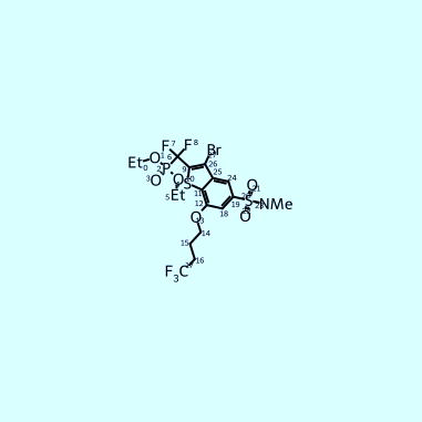 CCOP(=O)(OCC)C(F)(F)c1sc2c(OCCCC(F)(F)F)cc(S(=O)(=O)NC)cc2c1Br